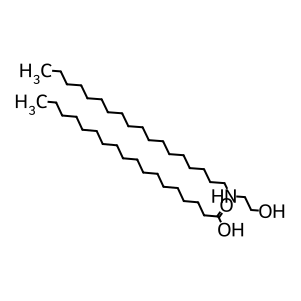 CCCCCCCCCCCCCCCCCC(=O)O.CCCCCCCCCCCCCCCCCCNCCO